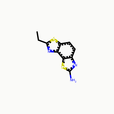 CCc1nc2c(ccc3nc(N)sc32)s1